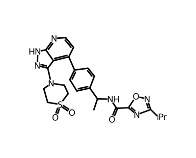 CC(C)c1noc(C(=O)NC(C)c2ccc(-c3ccnc4[nH]nc(N5CCS(=O)(=O)CC5)c34)cc2)n1